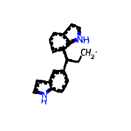 [CH2]CC(c1ccc2[nH]ccc2c1)c1cccc2cc[nH]c12